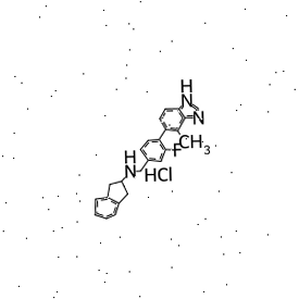 Cc1c(-c2ccc(CNC3Cc4ccccc4C3)cc2F)ccc2[nH]cnc12.Cl